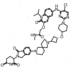 CNC(=O)COc1cc2cc(Nc3nc(N4CCC(O[C@H]5C[C@H](N6CCC7(CCCN(c8ccc9c(c8)CN(C8CCC(=O)NC8=O)C9=O)C7)C6)C5)CC4)ncc3Cl)ccc2n(C(C)C)c1=O